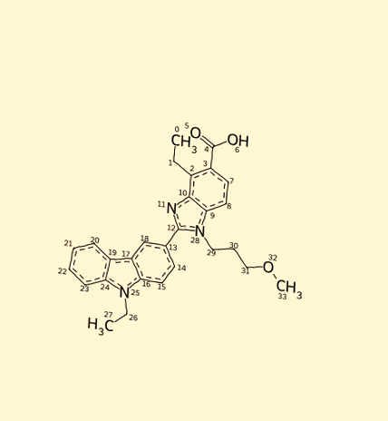 CCc1c(C(=O)O)ccc2c1nc(-c1ccc3c(c1)c1ccccc1n3CC)n2CCCOC